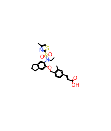 CCN(c1cc2c(cc1OCc1ccc(/C=C/C(=O)O)cc1C)CCC2)S(=O)(=O)c1nc(C)cs1